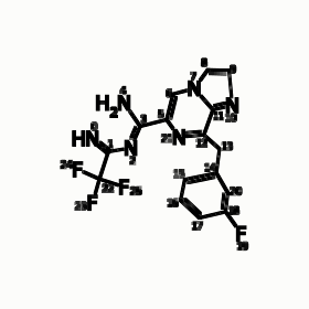 N=C(/N=C(\N)c1cn2ccnc2c(Cc2cccc(F)c2)n1)C(F)(F)F